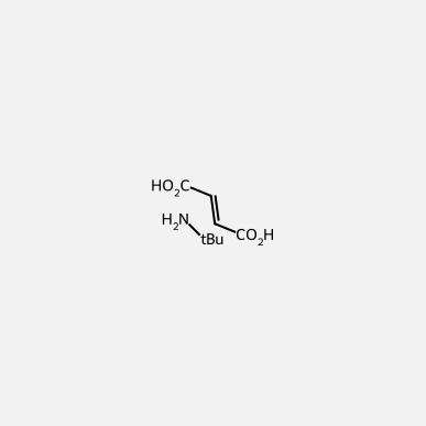 CC(C)(C)N.O=C(O)C=CC(=O)O